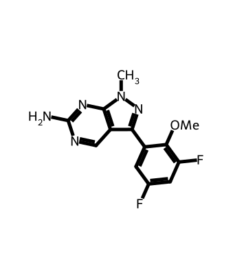 COc1c(F)cc(F)cc1-c1nn(C)c2nc(N)ncc12